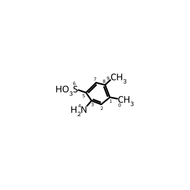 Cc1cc(N)c(S(=O)(=O)O)cc1C